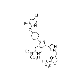 CCN(C(=O)O)c1cc2c(cn1)c(-c1cnn(CC3COC(C)(C)O3)c1)nn2C1CCC(Oc2ncc(Cl)cc2F)CC1